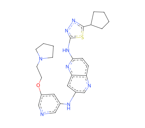 c1ncc(OCCN2CCCC2)cc1Nc1cnc2ccc(Nc3nnc(C4CCCC4)s3)nc2c1